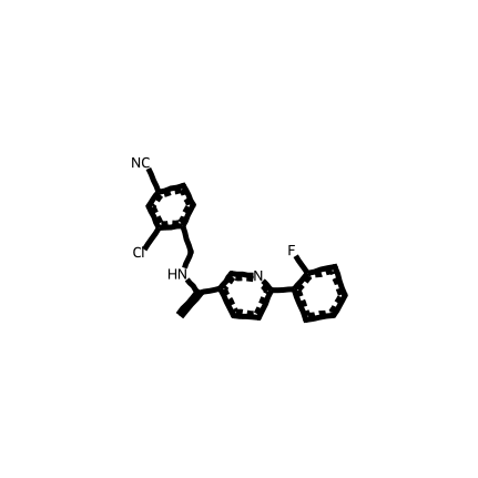 C=C(NCc1ccc(C#N)cc1Cl)c1ccc(-c2ccccc2F)nc1